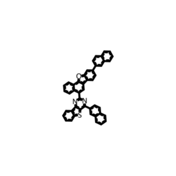 c1ccc2cc(-c3ccc4c(c3)oc3c5ccccc5c(-c5nc(-c6ccc7ccccc7c6)c6sc7ccccc7c6n5)cc43)ccc2c1